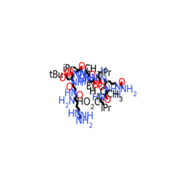 CC[C@H](NC(=O)[C@H](C)NC(=O)[C@H](CC(C)C)NC(=O)[C@H](CC(=O)OC(C)(C)C)NC(=O)CNC(=O)[C@@H](N)CCCNC(=N)N)C(=O)N[C@@H](CC(C)C)C(=O)N[C@@H](CCCNC(N)=O)C(=O)NC(C)(C)C(=O)N[C@@H](CC(C)C)C(=O)O